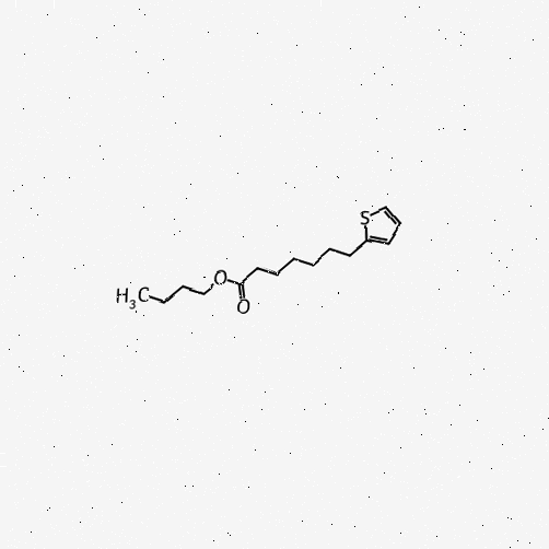 CCCCOC(=O)CCCCCCc1cccs1